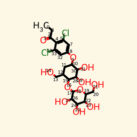 CCC(=O)c1c(Cl)cc(OC2CC(CO)C(OC3OC(CO)C(O)C(O)C3O)C(O)C2O)cc1Cl